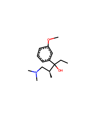 CCC(O)(c1cccc(OC)c1)[C@@H](C)CN(C)C